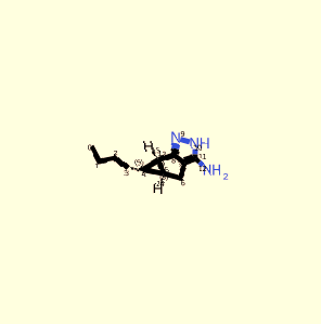 CCCC[C@H]1[C@@H]2Cc3c(n[nH]c3N)[C@H]12